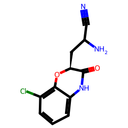 N#CC(N)C[C@@H]1Oc2c(Cl)cccc2NC1=O